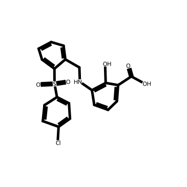 O=C(O)c1cccc(NCc2ccccc2S(=O)(=O)c2ccc(Cl)cc2)c1O